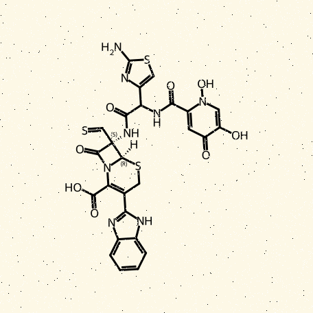 Nc1nc(C(NC(=O)c2cc(=O)c(O)cn2O)C(=O)N[C@@]2(C=S)C(=O)N3C(C(=O)O)=C(c4nc5ccccc5[nH]4)CS[C@@H]32)cs1